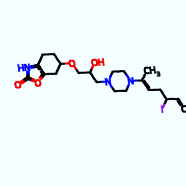 C=CC(I)C/C=C(\C)N1CCN(CC(O)COC2CCc3[nH]c(=O)oc3C2)CC1